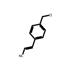 N#C/C=C/c1ccc(CCl)cc1